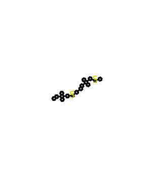 c1ccc(-c2ccc(-c3cccc(-c4c5ccccc5c(-c5ccc6cc(-c7ccc(-c8ccc(-c9ccc(-c%10c%11ccccc%11c(-c%11ccc%12ccccc%12c%11)c%11ccccc%10%11)cc9)s8)cc7)ccc6c5)c5ccccc45)c3)s2)cc1